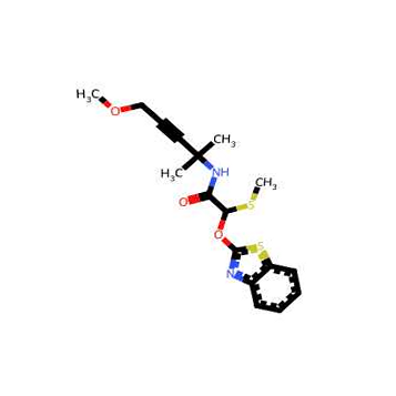 COCC#CC(C)(C)NC(=O)C(Oc1nc2ccccc2s1)SC